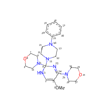 COC1=CNC(N2CCOCC2)(N2CCN(c3ccccc3)CC2)N=C1N1CCOCC1